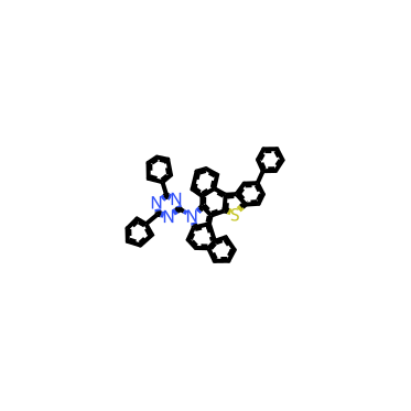 c1ccc(-c2ccc3sc4c(c3c2)c2ccccc2c2c4c3c4ccccc4ccc3n2-c2nc(-c3ccccc3)nc(-c3ccccc3)n2)cc1